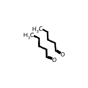 CCCCC=O.CCCCC=O